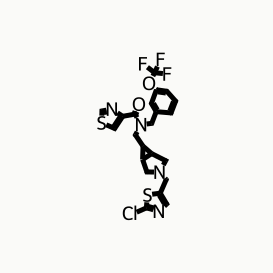 O=C(c1cscn1)N(Cc1cccc(OC(F)(F)F)c1)CC1C2CN(Cc3cnc(Cl)s3)CC21